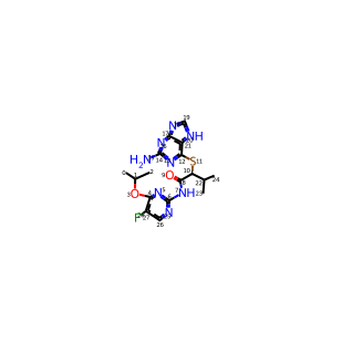 CC(C)Oc1nc(NC(=O)[C@@H](Sc2nc(N)nc3nc[nH]c23)C(C)C)ncc1F